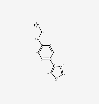 FC(F)(F)COc1ccc(-c2ncon2)cc1